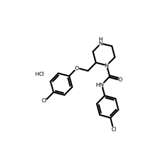 Cl.O=C(Nc1ccc(Cl)cc1)N1CCNCC1COc1ccc(Cl)cc1